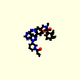 C=CC(=O)N1CCC[C@@H](n2nc(-c3ccc(CN(C)S(=O)(=O)c4cccc(F)c4F)cc3)c3c(N)ncnc32)C1